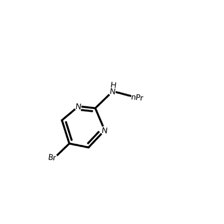 CCCNc1ncc(Br)cn1